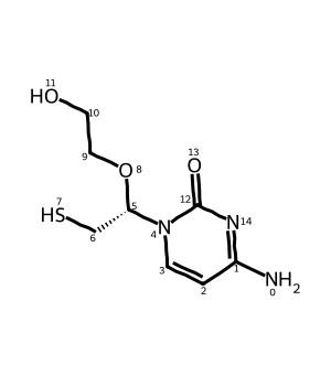 Nc1ccn([C@H](CS)OCCO)c(=O)n1